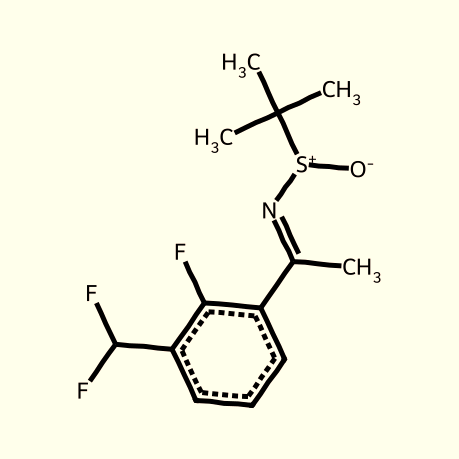 CC(=N[S+]([O-])C(C)(C)C)c1cccc(C(F)F)c1F